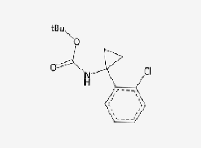 CC(C)(C)OC(=O)NC1(c2ccccc2Cl)CC1